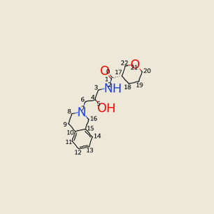 O=C(NCC(O)CN1CCc2ccccc2C1)[C@H]1CCCOC1